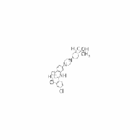 C[C@@H](Nc1cc(N2CCN([C@H]3CC[C@H](C(C)(C)O)CC3)CC2)ccc1Cl)c1ccc(Cl)cc1Cl